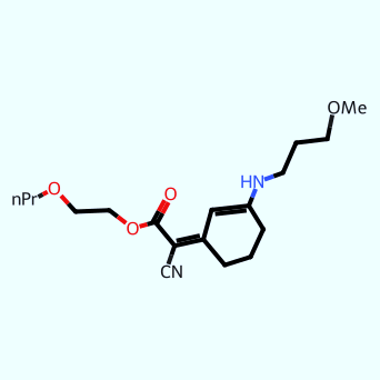 CCCOCCOC(=O)/C(C#N)=C1\C=C(NCCCOC)CCC1